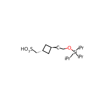 CC(C)[Si](OCC[C@H]1C[C@H](CS(=O)(=O)O)C1)(C(C)C)C(C)C